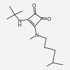 CC(C)CCCN(C)c1c(NC(C)(C)C)c(=O)c1=O